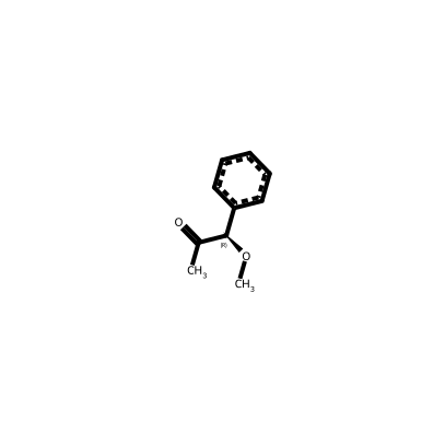 CO[C@@H](C(C)=O)c1ccccc1